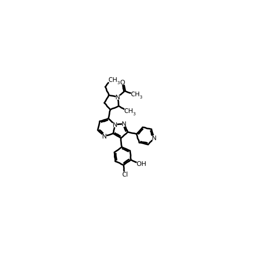 CCC1CC(c2ccnc3c(-c4ccc(Cl)c(O)c4)c(-c4ccncc4)nn23)C(C)N1C(C)=O